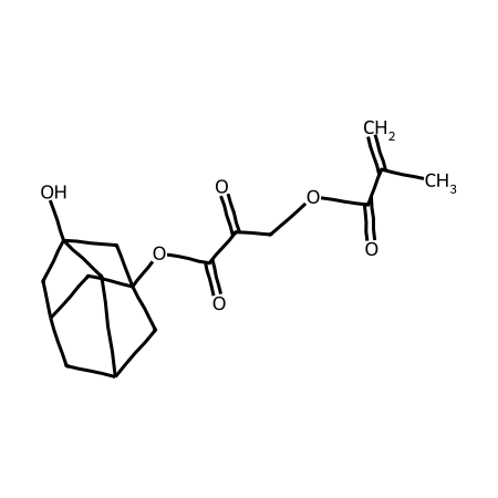 C=C(C)C(=O)OCC(=O)C(=O)OC12CC3CC(CC(O)(C3)C1)C2